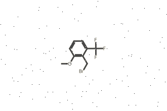 COc1cccc(C(F)(F)F)c1CBr